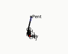 CCCCC/C=C/C/C=C/CCCCCCCCCC(=O)O[C@H]1CC[C@@]2(C)C(=CC[C@H]3[C@@H]4CC[C@H]([C@H](C)CCCC(C)C)[C@@]4(C)CC[C@@H]32)C1